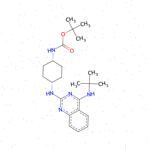 CC(C)(C)Nc1nc(N[C@H]2CC[C@@H](NC(=O)OC(C)(C)C)CC2)nc2ccccc12